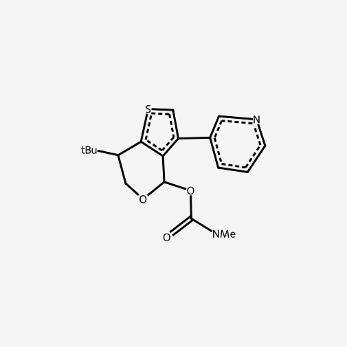 CNC(=O)OC1OCC(C(C)(C)C)c2scc(-c3cccnc3)c21